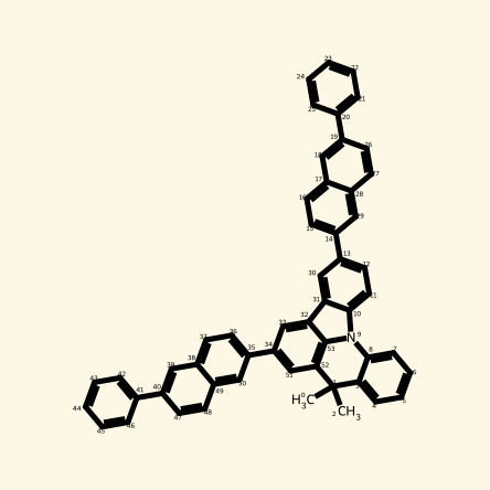 CC1(C)c2ccccc2-n2c3ccc(-c4ccc5cc(-c6ccccc6)ccc5c4)cc3c3cc(-c4ccc5cc(-c6ccccc6)ccc5c4)cc1c32